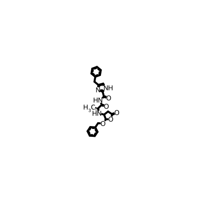 C[C@H](NC1CC(=O)OC1OCc1ccccc1)C(=O)NC(=O)c1nc(Cc2ccccc2)c[nH]1